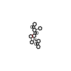 c1ccc(-c2ccccc2N(c2ccc3c(c2)oc2c(-c4ccccc4)c4c(cc23)oc2ccccc24)c2cccc3c2oc2ccccc23)cc1